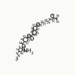 C=C/C=C/c1ccc(OC(=C)c2ccc(OC(=O)c3ccc4cc(OCCCCCCCC(=O)C(=C)C)ccc4c3)cc2)c(N)c1